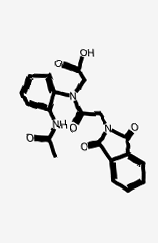 CC(=O)Nc1ccccc1N(CC(=O)O)C(=O)CN1C(=O)c2ccccc2C1=O